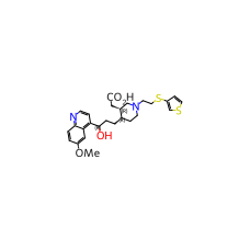 COc1ccc2nccc([C@H](O)CC[C@@H]3CCN(CCSc4ccsc4)C[C@@H]3CC(=O)O)c2c1